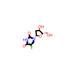 O=c1[nH]c(=O)n([C@@H]2C[C@@H](O)[C@H](CO)O2)cc1F